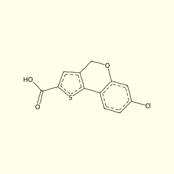 O=C(O)c1cc2c(s1)-c1ccc(Cl)cc1OC2